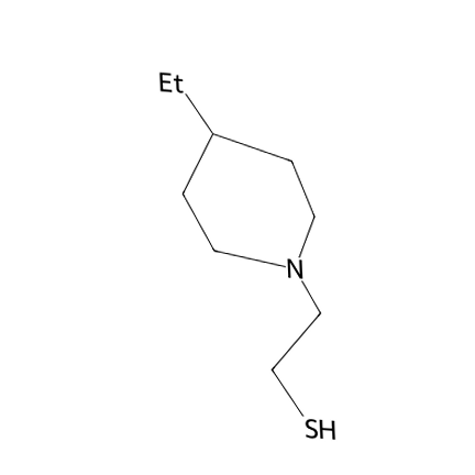 CCC1CCN(CCS)CC1